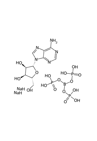 Nc1ncnc2c1ncn2[C@@H]1O[C@H](CO)[C@@H](O)[C@H]1O.O=P(O)(O)OB(OP(=O)(O)O)OP(=O)(O)O.[NaH].[NaH]